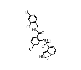 O=C(NCc1ccc(Cl)cc1Cl)c1ccc(Cl)cc1NS(=O)(=O)C1=CC=CN2SNC=C12